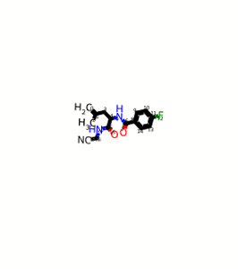 C=C(C)CC(NC(=O)c1ccc(F)cc1)C(=O)NCC#N